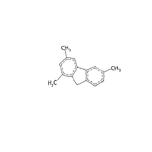 Cc1ccc2c(c1)-c1cc(C)cc(C)c1C2